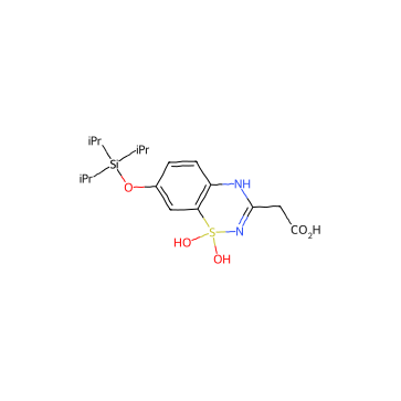 CC(C)[Si](Oc1ccc2c(c1)S(O)(O)N=C(CC(=O)O)N2)(C(C)C)C(C)C